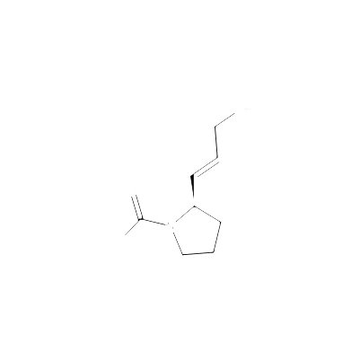 O=C(O)N1CCC[C@@H]1/C=C/CO